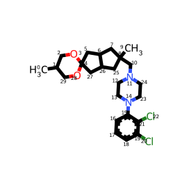 CC1COC2(CC3CC(C)(CN4CCN(c5cccc(Cl)c5Cl)CC4)CC3C2)OC1